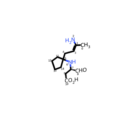 C/C(N)=C/CC1(N[C@@H](C=O)CC(=O)O)CCCC1